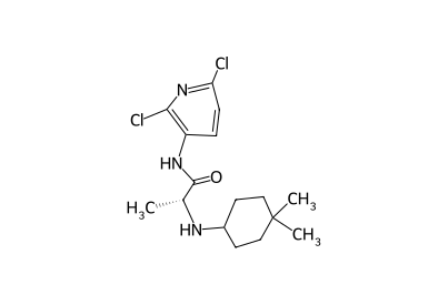 C[C@@H](NC1CCC(C)(C)CC1)C(=O)Nc1ccc(Cl)nc1Cl